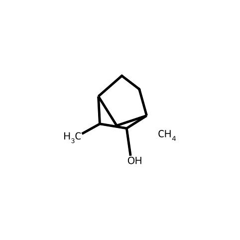 C.CC1C2CCC(C2)C1O